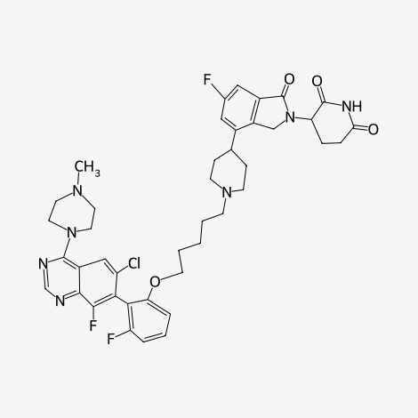 CN1CCN(c2ncnc3c(F)c(-c4c(F)cccc4OCCCCCN4CCC(c5cc(F)cc6c5CN(C5CCC(=O)NC5=O)C6=O)CC4)c(Cl)cc23)CC1